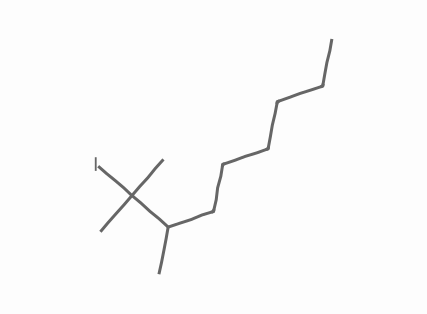 CCCCCCC(C)C(C)(C)I